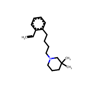 C=Cc1ccccc1CCCCN1CCCC(C)(C)C1